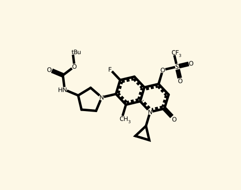 Cc1c(N2CCC(NC(=O)OC(C)(C)C)C2)c(F)cc2c(OS(=O)(=O)C(F)(F)F)cc(=O)n(C3CC3)c12